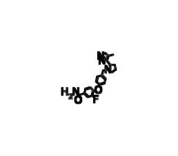 Cc1cnn(C)c1C1CCCN1Cc1ccc(Oc2ccc(C(N)=O)cc2F)cc1